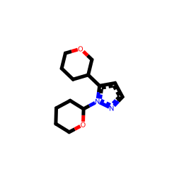 [CH]1CCOCC1c1ccnn1C1CCCCO1